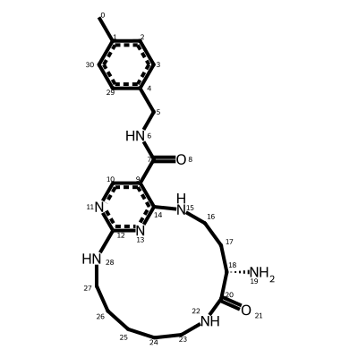 Cc1ccc(CNC(=O)c2cnc3nc2NCC[C@H](N)C(=O)NCCCCCN3)cc1